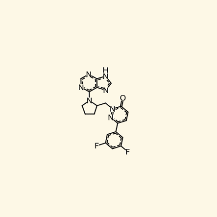 O=c1ccc(-c2cc(F)cc(F)c2)nn1CC1CCCN1c1ncnc2[nH]cnc12